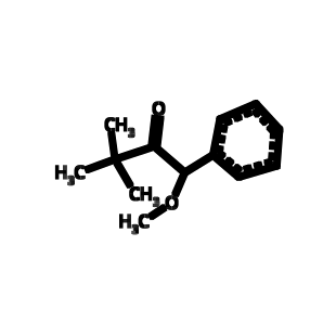 COC(C(=O)C(C)(C)C)c1ccccc1